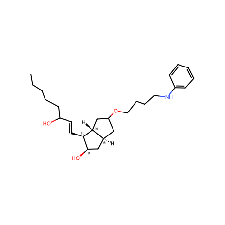 CCCCCC(O)C=C[C@H]1[C@@H]2CC(OCCCCNc3ccccc3)C[C@H]2C[C@H]1O